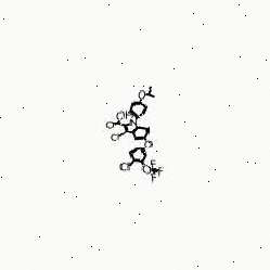 CC(C)Oc1ccc(-n2c(C(=O)O)c(Cl)c3cc(Oc4ccc(Cl)c(OC(F)(F)F)c4)ccc32)cc1